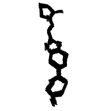 C[C@@H]1CCCN1CCc1nc2cc(-c3ccc(F)cc3)ccc2s1